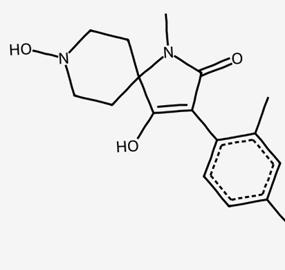 Cc1ccc(C2=C(O)C3(CCN(O)CC3)N(C)C2=O)c(C)c1